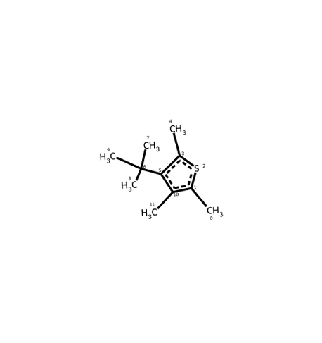 Cc1sc(C)c(C(C)(C)C)c1C